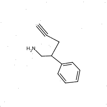 [C]#CCC(CN)c1ccccc1